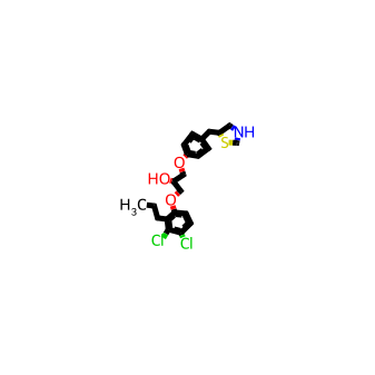 CCCc1c(OCC(O)COc2ccc(CC3CNCS3)cc2)ccc(Cl)c1Cl